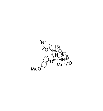 CC[C@@H]1C[C@]1(NC(=O)[C@@H]1C[C@@H](Oc2nccc3cc(OC)ccc23)CN1C(=O)[C@@H](NC(=O)OC(C)(C)CN(C)C)C(C)(C)C)C(=O)OC